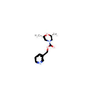 C[C@@H]1CN(C(=O)OCc2cccnc2)C[C@H](C)O1